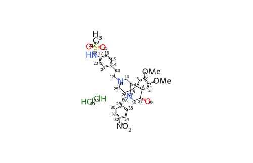 COc1cc2c(cc1OC)C1(CCN(CCc3ccc(NS(C)(=O)=O)cc3)CC1)N(Cc1ccc([N+](=O)[O-])cc1)CC2=O.Cl.Cl